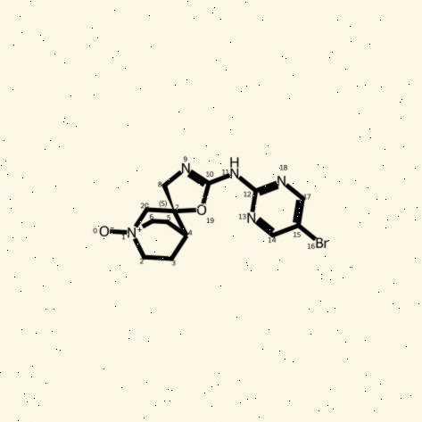 [O-][N+]12CCC(CC1)[C@]1(CN=C(Nc3ncc(Br)cn3)O1)C2